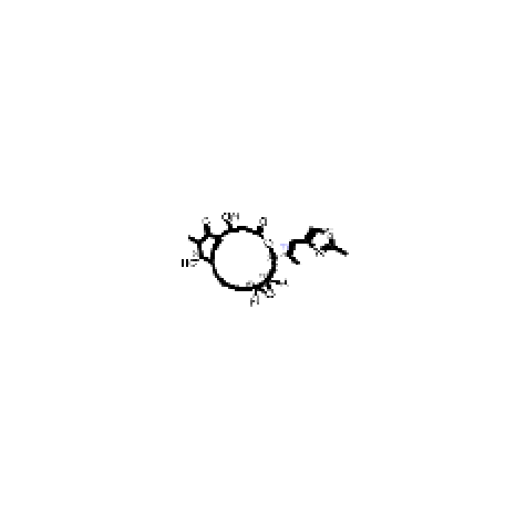 C/C(=C\c1csc(C)n1)[C@@H]1C[C@@H]2O[C@@H]2CCCC2C=C(C(=O)C(C)[C@H]2O)C(O)CC(=O)O1